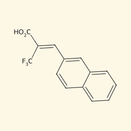 O=C(O)/C(=C/c1ccc2ccccc2c1)C(F)(F)F